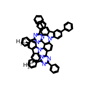 Cc1ccc2c(c1)c1cc(C)ccc1n2-c1c(-c2nc(-c3ccccc3)nc(-c3ccccc3)n2)ccc(-n2c3ccc(-c4ccccc4)cc3c3cc(-c4ccccc4)ccc32)c1-c1nc(-c2ccccc2)nc(-c2ccccc2)n1